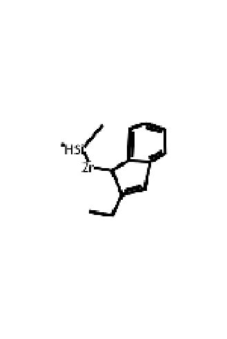 CCC1=Cc2ccccc2[CH]1[Zr][SiH](C)C